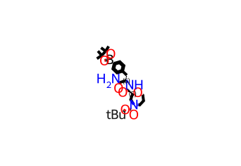 CC(C)(C)OC(=O)N1CCCO[C@H](C(=O)N[C@@H](Cc2ccc(B3OC(C)(C)C(C)(C)O3)cc2)C(N)=O)C1